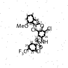 COc1cccc2sc(Oc3c(Cl)cc(NS(=O)(=O)c4ccc(C(F)(F)F)cc4Cl)cc3Cl)nc12